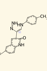 Cc1ccc(N/C=C(\N=N)c2cc3cc(F)ccc3[nH]c2=O)cc1